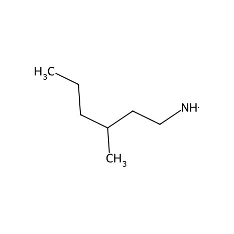 CCCC(C)CC[NH]